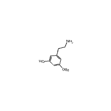 COc1cc(O)cc(CCN)c1